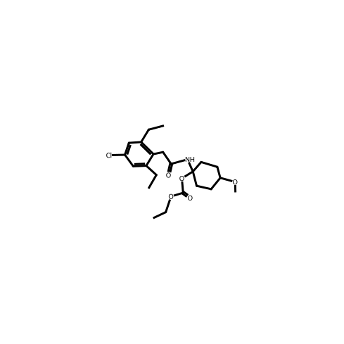 CCOC(=O)OC1(NC(=O)Cc2c(CC)cc(Cl)cc2CC)CCC(OC)CC1